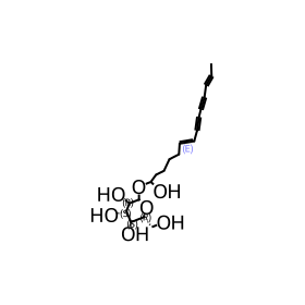 CC#CC#CC#C/C=C/CCCCC(O)OC1O[C@H](CO)[C@@H](O)[C@H](O)[C@H]1O